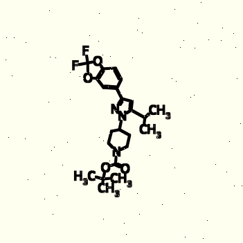 CC(C)c1cc(-c2ccc3c(c2)OC(F)(F)O3)nn1C1CCN(C(=O)OC(C)(C)C)CC1